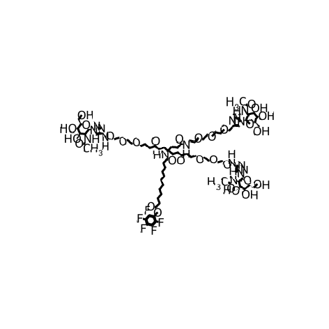 CC(=O)N[C@@H]1[C@@H](O)[C@@H](O)[C@@H](CO)O[C@H]1n1cc(COCCOCCOCCNC(=O)CCC(CCC(=O)CCCOCCOCCONc2cn([C@@H]3O[C@H](CO)[C@H](O)[C@H](O)[C@H]3NC(C)=O)nn2)(CCC(=O)CCCOCCOCCONc2cn([C@@H]3O[C@H](CO)[C@H](O)[C@H](O)[C@H]3NC(C)=O)nn2)NC(=O)CCCCCCCCCCC(=O)Oc2c(F)c(F)c(F)c(F)c2F)nn1